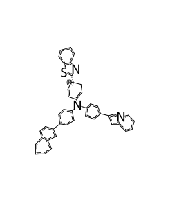 C1=C[C@H](c2nc3ccccc3s2)CC=C1N(c1ccc(-c2ccc3ccccc3c2)cc1)c1ccc(-c2cc3ccccn3c2)cc1